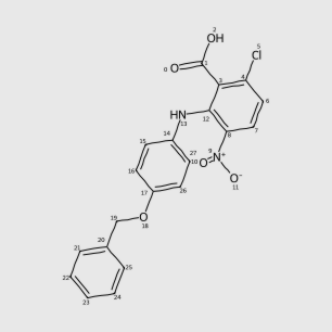 O=C(O)c1c(Cl)ccc([N+](=O)[O-])c1Nc1ccc(OCc2ccccc2)cc1